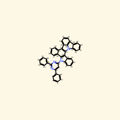 c1ccc(-c2cc(-n3c4ccccc4c4c3c3ccccc3c3c5cccc6c7ccccc7n(c65)c34)nc(-c3ccccc3)n2)cc1